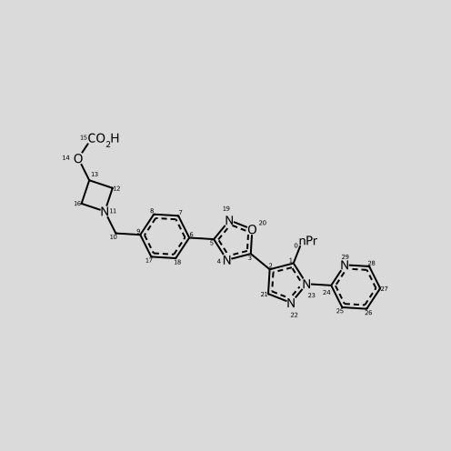 CCCc1c(-c2nc(-c3ccc(CN4CC(OC(=O)O)C4)cc3)no2)cnn1-c1ccccn1